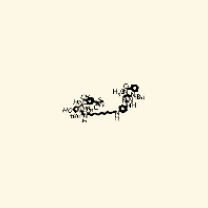 CCC(C)N1c2ccccc2C(=O)N(C)c2cnc(Nc3ccc(NCCCCCCCCC(=O)N[C@H](C(=O)N4C[C@H](O)C[C@H]4C(=O)N[C@@H](C)c4ccc(-c5scnc5C)cc4)C(C)(C)C)cc3)nc21